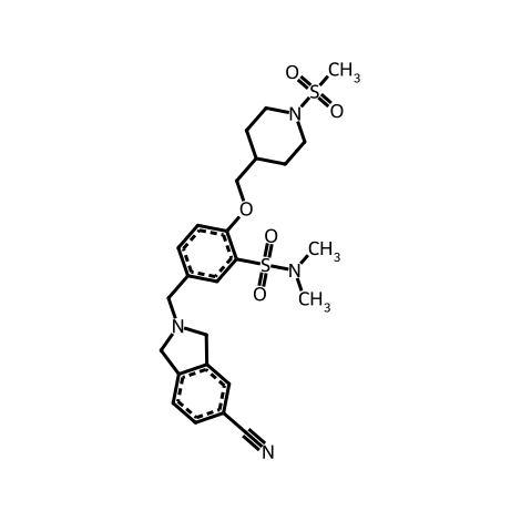 CN(C)S(=O)(=O)c1cc(CN2Cc3ccc(C#N)cc3C2)ccc1OCC1CCN(S(C)(=O)=O)CC1